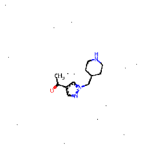 CC(=O)c1cnn(CC2CCNCC2)c1